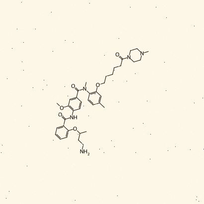 COc1cc(C(=O)N(C)c2ccc(C)cc2OCCCCCC(=O)N2CCN(C)CC2)ccc1NC(=O)c1ccccc1OC(C)CCN